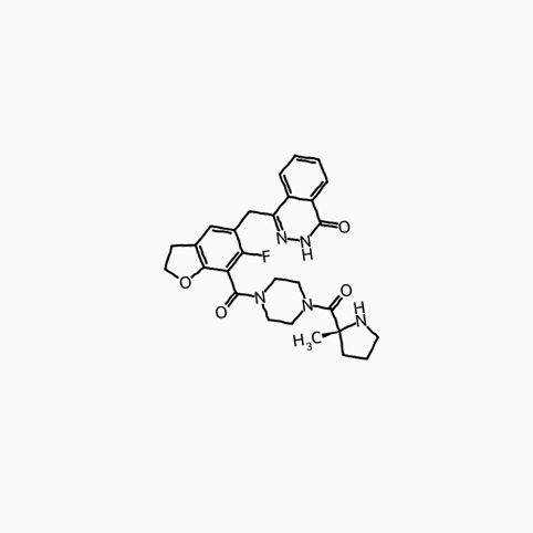 C[C@]1(C(=O)N2CCN(C(=O)c3c(F)c(Cc4n[nH]c(=O)c5ccccc45)cc4c3OCC4)CC2)CCCN1